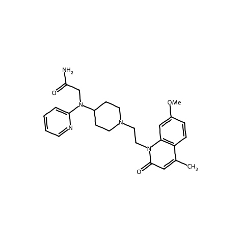 COc1ccc2c(C)cc(=O)n(CCN3CCC(N(CC(N)=O)c4ccccn4)CC3)c2c1